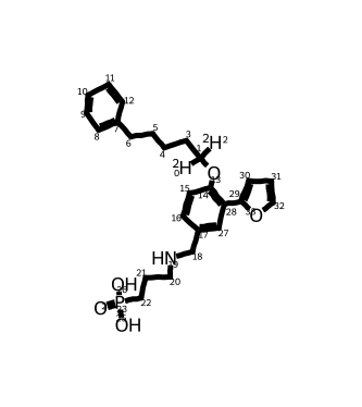 [2H]C([2H])(CCCCc1ccccc1)Oc1ccc(CNCCCP(=O)(O)O)cc1-c1ccco1